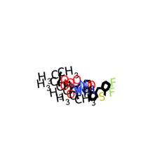 CC(=O)/C(OC(=O)OC(C(C)C)C(C)C)=C1/C(=O)N2CCO[C@@H](c3cccc4c3Cc3ccc(F)c(F)c3CS4)[C@H]2NN1C(C)C